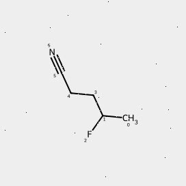 CC(F)CCC#N